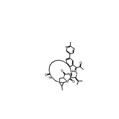 CC(=O)c1nn2c3c(cc(-c4cnc(C)nc4)cc13)CCCCCCC(=O)NC[C@@]13C[C@@H](C(=O)NCC(F)=C(C)C)N(C(=O)C2)C1C3C